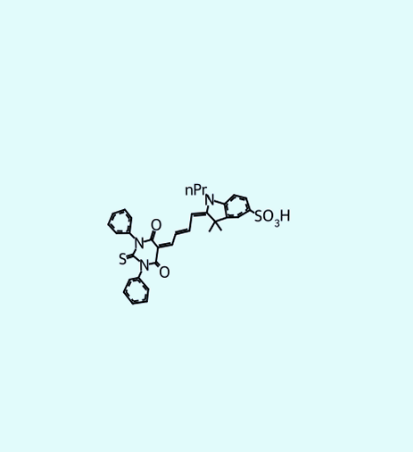 CCCN1/C(=C/C=C/C=C2C(=O)N(c3ccccc3)C(=S)N(c3ccccc3)C2=O)C(C)(C)c2cc(S(=O)(=O)O)ccc21